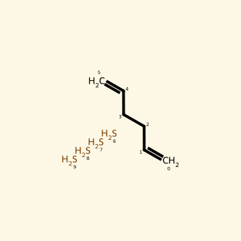 C=CCCC=C.S.S.S.S